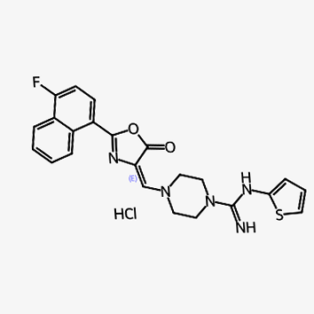 Cl.N=C(Nc1cccs1)N1CCN(/C=C2/N=C(c3ccc(F)c4ccccc34)OC2=O)CC1